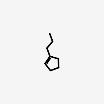 CCCC1=CCCC1